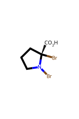 O=C(O)[C@]1(Br)CCCN1Br